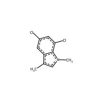 Cc1cn(C)c2c(Cl)cc(Cl)cc12